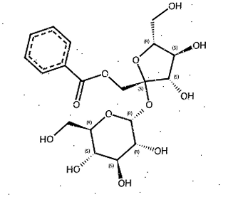 O=C(OC[C@@]1(O[C@H]2O[C@H](CO)[C@@H](O)[C@H](O)[C@H]2O)O[C@H](CO)[C@@H](O)[C@@H]1O)c1ccccc1